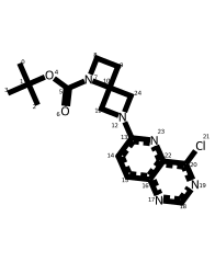 CC(C)(C)OC(=O)N1CCC12CN(c1ccc3ncnc(Cl)c3n1)C2